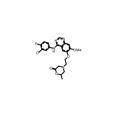 COc1cc2ncnc(Nc3ccc(F)c(Cl)c3)c2cc1OCCN1CC(=O)OC(C)C1